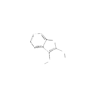 FC(F)(F)Oc1oc2ccccc2c1OC(F)(F)F